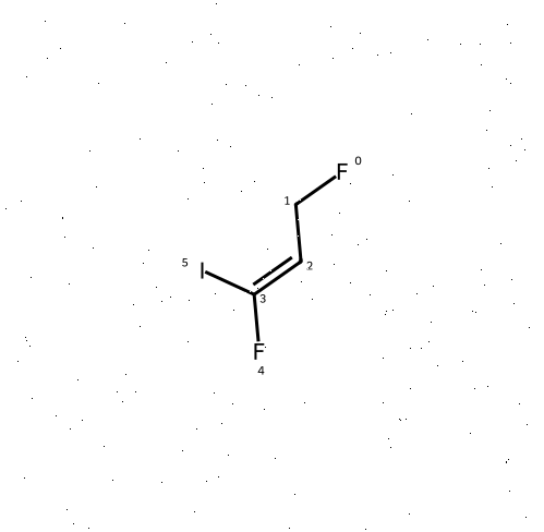 FCC=C(F)I